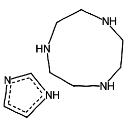 C1CNCCNCCN1.c1c[nH]cn1